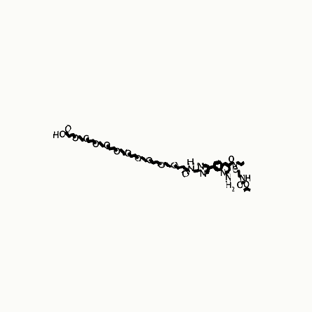 CCCN(OCCNC(=O)OC(C)C)C(=O)C1=Cc2ccc(-c3cnc(CNC(=O)CCOCCOCCOCCOCCOCCOCCOCCOCCOCCOCCC(=O)O)nc3)cc2N=C(N)C1